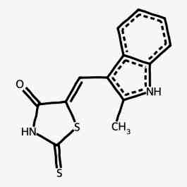 Cc1[nH]c2ccccc2c1C=C1SC(=S)NC1=O